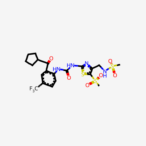 CS(=O)(=O)NCc1nc(NC(=O)Nc2ccc(C(F)(F)F)cc2C(=O)C2CCCC2)sc1S(C)(=O)=O